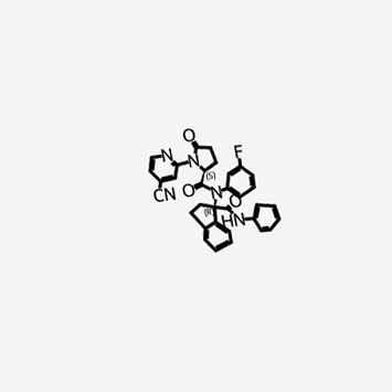 N#Cc1ccnc(N2C(=O)CC[C@H]2C(=O)N(c2cccc(F)c2)[C@]2(C(=O)Nc3ccccc3)CCc3ccccc32)c1